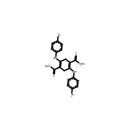 COC(=O)C1=C(Nc2ccc(C(C)C)cc2)CC(C(=O)OC)=C(Nc2ccc(C(C)C)cc2)C1